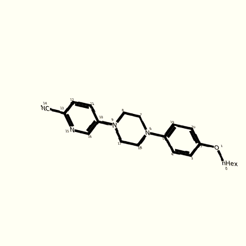 CCCCCCOc1ccc(N2CCN(c3ccc(C#N)nc3)CC2)cc1